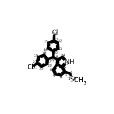 CSCc1cccc2c(C(c3ccc(Cl)cc3)c3ccc(Cl)cc3)c[nH]c12